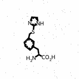 NC(Cc1cccc(CSc2ncc[nH]2)c1)C(=O)O